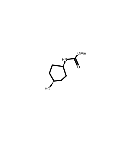 COC(=O)N[C@H]1CC[C@@H](O)CC1